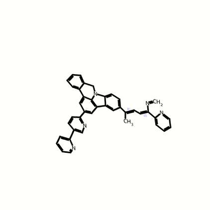 C=N/C(=C\C=C(/C)c1ccc2c(c1)c1cc(-c3ccc(-c4ccccn4)cn3)cc3c1n2Cc1ccccc1-3)c1ccccn1